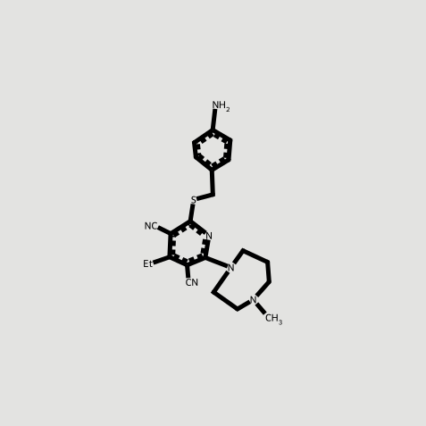 CCc1c(C#N)c(SCc2ccc(N)cc2)nc(N2CCCN(C)CC2)c1C#N